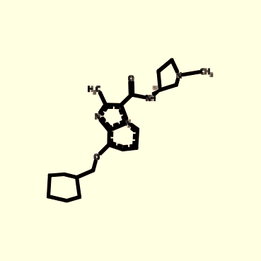 Cc1nc2c(OCC3CCCCC3)cccn2c1C(=O)N[C@H]1CCN(C)C1